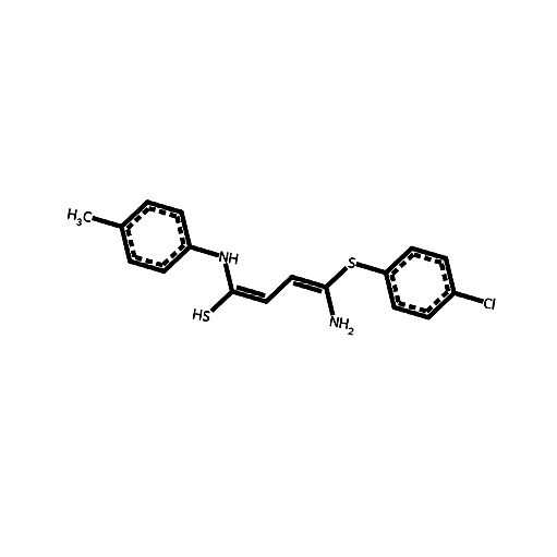 Cc1ccc(N/C(S)=C\C=C(/N)Sc2ccc(Cl)cc2)cc1